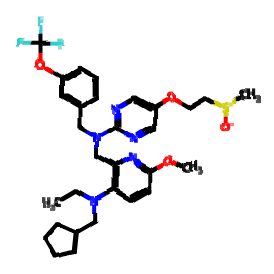 CCN(CC1CCCC1)c1ccc(OC)nc1CN(Cc1cccc(OC(F)(F)F)c1)c1ncc(OCC[S+](C)[O-])cn1